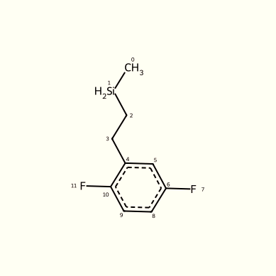 C[SiH2]CCc1cc(F)ccc1F